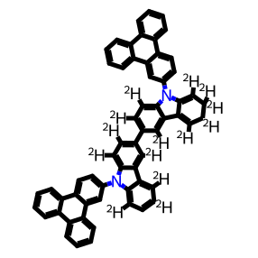 [2H]C1=c2c(n(-c3ccc4c5ccccc5c5ccccc5c4c3)c3c([2H])c([2H])c(-c4c([2H])c([2H])c5c(c4[2H])c4c([2H])c([2H])cc([2H])c4n5-c4ccc5c6ccccc6c6ccccc6c5c4)c([2H])c23)=C([2H])C([2H])([2H])C1[2H]